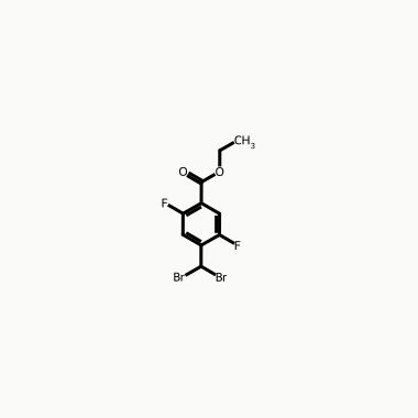 CCOC(=O)c1cc(F)c(C(Br)Br)cc1F